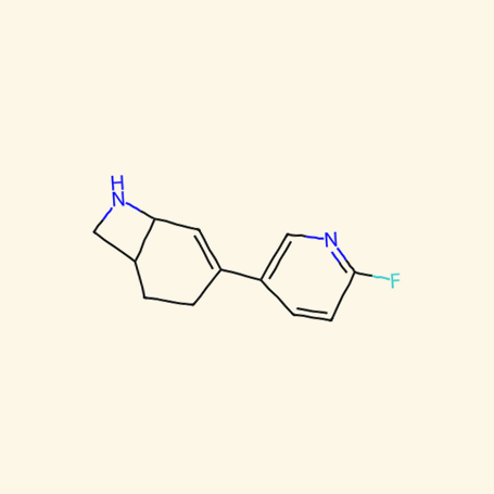 Fc1ccc(C2=CC3NCC3CC2)cn1